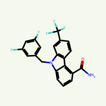 NC(=O)c1cccc2c1c1[c]cc(C(F)(F)F)cc1n2Cc1cc(F)cc(F)c1